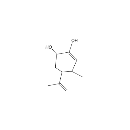 C=C(C)C1CC(O)C(O)=CC1C